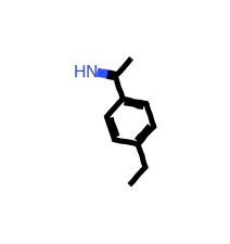 CCc1ccc(C(C)=N)cc1